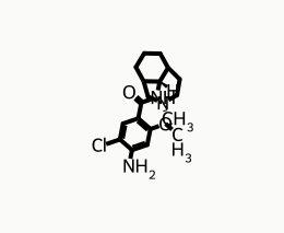 COc1cc(N)c(Cl)cc1C(=O)N[C@H]1C2CCCC1CN(C)CC2